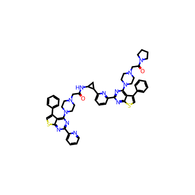 O=C(CN1CCN(c2nc(-c3ccccn3)nc3scc(-c4ccccc4)c23)CC1)NC1CC1c1cccc(-c2nc(N3CCN(CC(=O)N4CCCC4)CC3)c3c(-c4ccccc4)csc3n2)n1